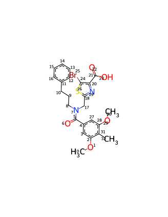 COc1cc(C(=O)N(CCCc2ccccc2)Cc2nc(C(=O)O)c(Br)s2)cc(OC)c1C